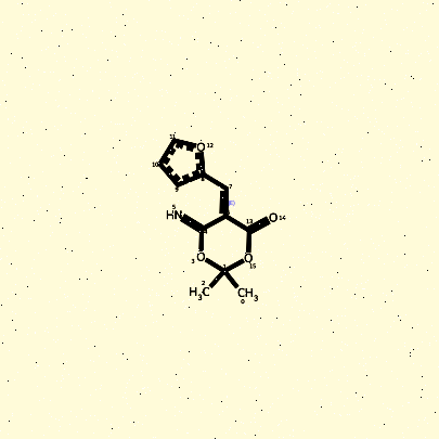 CC1(C)OC(=N)/C(=C\c2ccco2)C(=O)O1